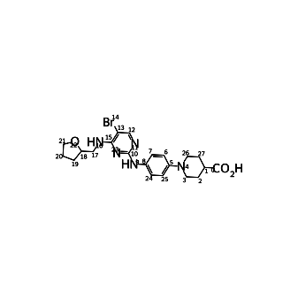 O=C(O)C1CCN(c2ccc(Nc3ncc(Br)c(NCC4CCCO4)n3)cc2)CC1